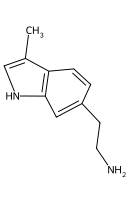 Cc1c[nH]c2cc(CCN)ccc12